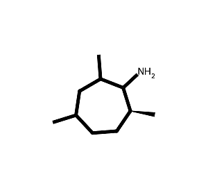 CC1CC[C@H](C)C(N)C(C)C1